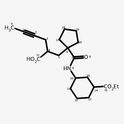 CC#CCC(CC1(C(=O)NC2CCCC(C(=O)OCC)C2)CCCC1)C(=O)O